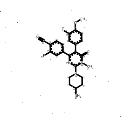 COc1ccc(-c2c(-c3ccc(C#N)c(F)c3)nc(N3CCC(N)CC3)n(C)c2=O)cc1F